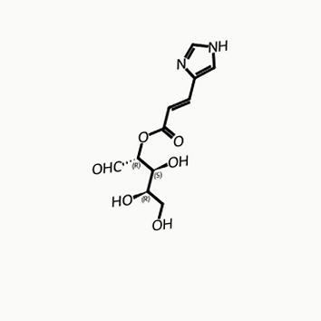 O=C[C@H](OC(=O)C=Cc1c[nH]cn1)[C@@H](O)[C@H](O)CO